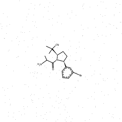 CC(N)C(=O)N1[C@H](c2cccc(Br)c2)CC[C@@H]1C(C)(C)C#N